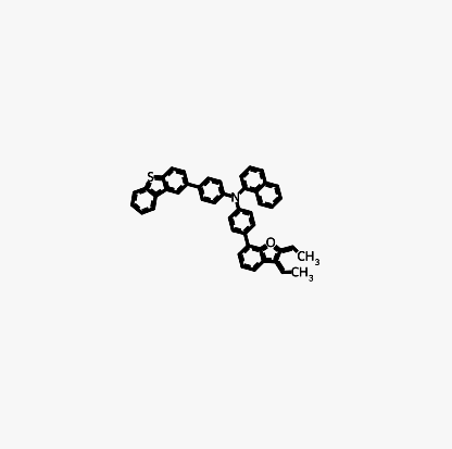 C/C=c1\c(=C/C)oc2c(-c3ccc(N(c4ccc(-c5ccc6sc7ccccc7c6c5)cc4)c4cccc5ccccc45)cc3)cccc12